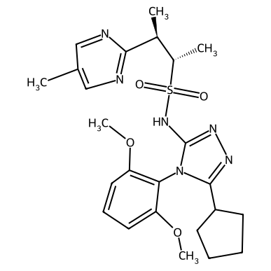 COc1cccc(OC)c1-n1c(NS(=O)(=O)[C@@H](C)[C@H](C)c2ncc(C)cn2)nnc1C1CCCC1